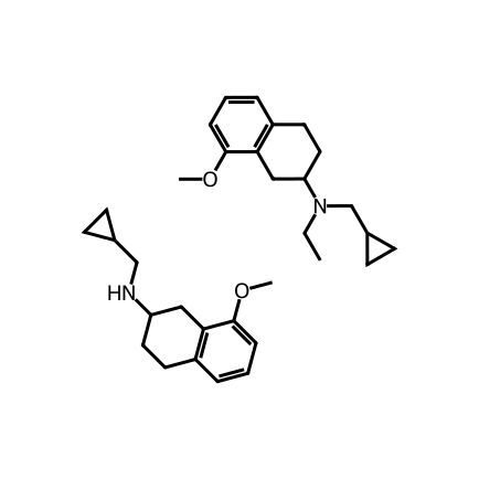 CCN(CC1CC1)C1CCc2cccc(OC)c2C1.COc1cccc2c1CC(NCC1CC1)CC2